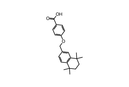 CC1(C)CCC(C)(C)c2cc(COc3ccc(C(=O)O)cc3)ccc21